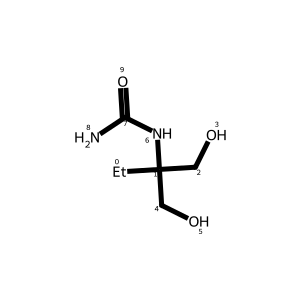 CCC(CO)(CO)NC(N)=O